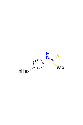 CCCCCCc1ccc(NC(=S)[S][Mo])cc1